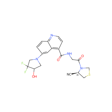 N#C[C@@H]1CSCN1C(=O)CNC(=O)c1ccnc2ccc(N3CC(O)C(F)(F)C3)cc12